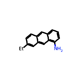 CCc1ccc2cc3cccc(N)c3cc2c1